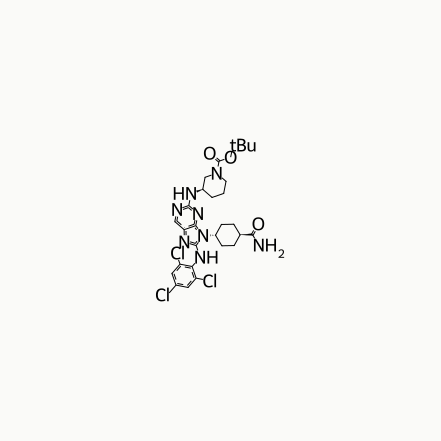 CC(C)(C)OC(=O)N1CCC[C@@H](Nc2ncc3nc(Nc4c(Cl)cc(Cl)cc4Cl)n([C@H]4CC[C@H](C(N)=O)CC4)c3n2)C1